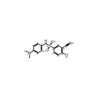 CN(C)c1ccc(NS(=O)(=O)c2ccc(Cl)c(C#N)c2)cc1